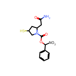 NC(=O)CC1CC(S)CN1C(=O)OC(c1ccccc1)[N+](=O)[O-]